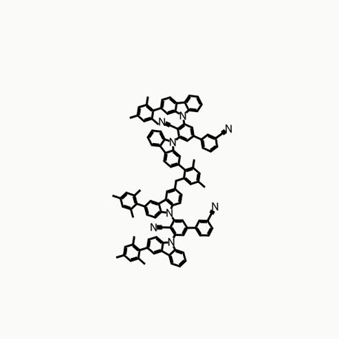 Cc1cc(C)c(-c2ccc3c(c2)c2ccccc2n3-c2cc(-c3cccc(C#N)c3)cc(-n3c4ccc(Cc5cc(C)cc(C)c5-c5ccc6c7ccccc7n(-c7cc(-c8cccc(C#N)c8)cc(-n8c9ccccc9c9ccc(-c%10c(C)cc(C)cc%10C)cc98)c7C#N)c6c5)cc4c4cc(-c5c(C)cc(C)cc5C)ccc43)c2C#N)c(C)c1